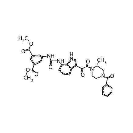 COC(=O)c1cc(NC(=O)Nc2cccc3c(C(=O)C(=O)N4CCN(C(=O)c5ccccc5)C[C@H]4C)c[nH]c23)cc(C(=O)OC)c1